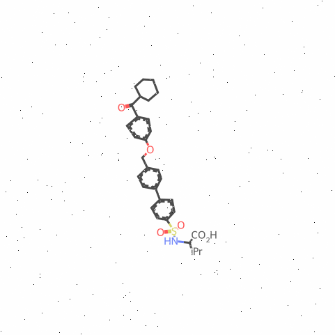 CC(C)C(NS(=O)(=O)c1ccc(-c2ccc(COc3ccc(C(=O)C4CCCCC4)cc3)cc2)cc1)C(=O)O